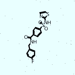 O=C(NCc1ccc(F)cc1)c1ccc(S(=O)(=O)Nc2nccs2)cc1